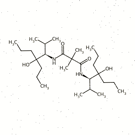 CCCC(O)(CCC)[C@H](NC(=O)C(C)(C)C(=O)N[C@H](C(C)C)C(O)(CCC)CCC)C(C)C